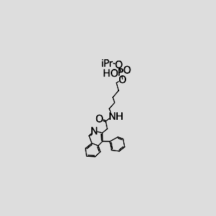 CC(C)OP(=O)(O)OCCCCCNC(=O)Cc1ncc2ccccc2c1-c1ccccc1